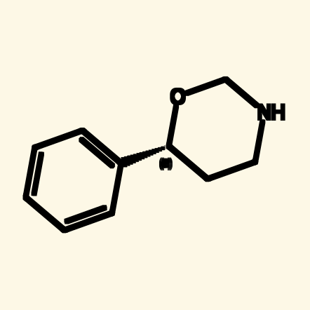 c1ccc([C@H]2CCNCO2)cc1